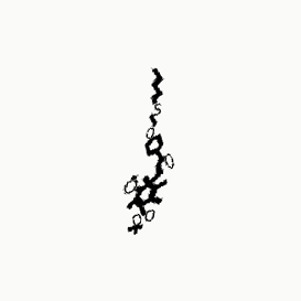 CCCCCSCCOc1ccc(C(=O)C=CC2(C)C(C)=C(C)C(C(=O)OC(C)(C)C)=C(C)C2OC)cc1